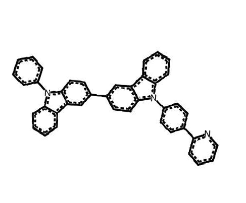 c1ccc(-n2c3ccccc3c3cc(-c4ccc5c(c4)c4ccccc4n5-c4ccc(-c5ccccn5)cc4)ccc32)cc1